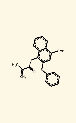 C=C(C)C(=O)Oc1c(Sc2ccccc2)cc(OC(C)=O)c2ccccc12